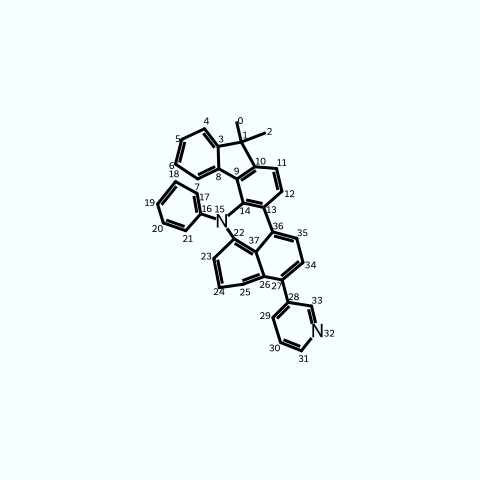 CC1(C)c2ccccc2-c2c1ccc1c2N(c2ccccc2)c2cccc3c(-c4cccnc4)ccc-1c23